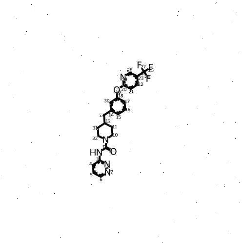 O=C(Nc1cccnn1)N1CCC(Cc2cccc(Oc3ccc(C(F)(F)F)cn3)c2)CC1